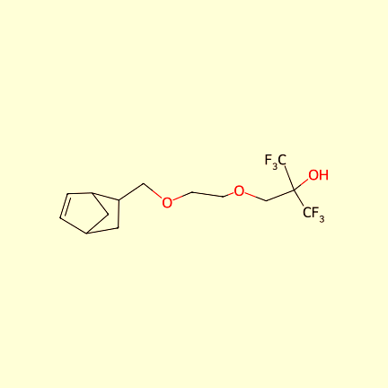 OC(COCCOCC1CC2C=CC1C2)(C(F)(F)F)C(F)(F)F